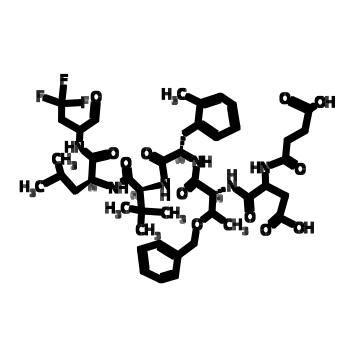 Cc1ccccc1C[C@H](NC(=O)[C@H](NC(=O)C(CC(=O)O)NC(=O)CCC(=O)O)C(C)OCc1ccccc1)C(=O)N[C@H](C(=O)N[C@@H](CC(C)C)C(=O)NC(C=O)CC(F)(F)F)C(C)(C)C